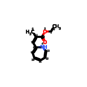 CCOC(=O)C(C)=CC1=CC=CC=CN1